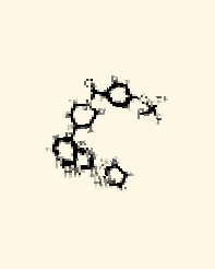 O=C(c1ccc(OC(F)(F)F)cc1)N1CCC(c2ccnc3[nH]c([C@@H]4CCCN4)nc23)CC1